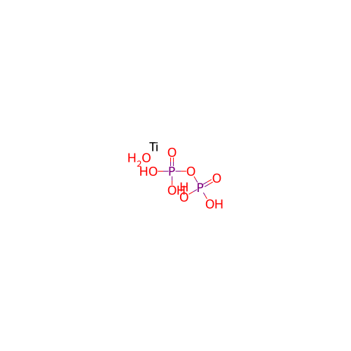 O.O=P(O)(O)OP(=O)(O)O.[Ti]